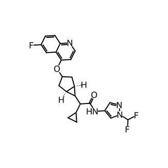 O=C(Nc1cnn(C(F)F)c1)C(C1CC1)C1[C@H]2CC(Oc3ccnc4ccc(F)cc34)C[C@@H]12